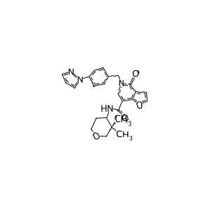 CC1(C)COCCC1NC(=O)c1cn(Cc2ccc(-n3cccn3)cc2)c(=O)c2ccoc12